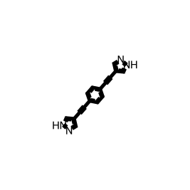 C(#Cc1cn[nH]c1)c1ccc(C#Cc2cn[nH]c2)cc1